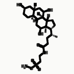 C[C@H](CCC(=O)NCCS(=O)(=O)ON)[C@H]1CC[C@H]2[C@@H]3[C@H](O)C[C@@H]4C[C@H](O)CC[C@]4(C)[C@H]3C[C@H](O)[C@]12C